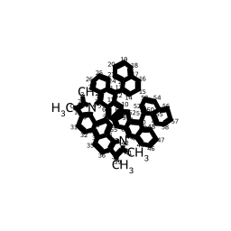 Cc1c(C)n(-c2c3ccccc3c(-c3cccc4ccccc34)c3ccccc23)c2c1ccc1c3ccc4c(C)c(C)n(-c5c6ccccc6c(-c6cccc7ccccc67)c6ccccc56)c4c3ccc12